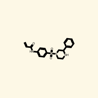 C=CC(=O)Nc1ccc(S(=O)(=O)N2CCNC(c3ccccc3)C2)cc1